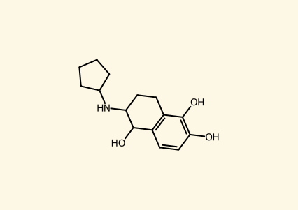 Oc1ccc2c(c1O)CCC(NC1CCCC1)C2O